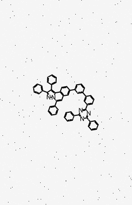 c1ccc(-c2nc(-c3ccccc3)nc(-c3cccc(-c4cccc(-c5ccc6c(c5)cc(-c5ccccc5)n5nc(-c7ccccc7)c(-c7ccccc7)c65)c4)c3)n2)cc1